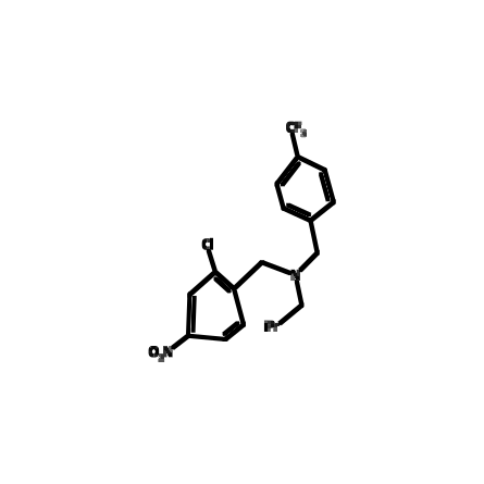 CC(C)CN(Cc1ccc(C(F)(F)F)cc1)Cc1ccc([N+](=O)[O-])cc1Cl